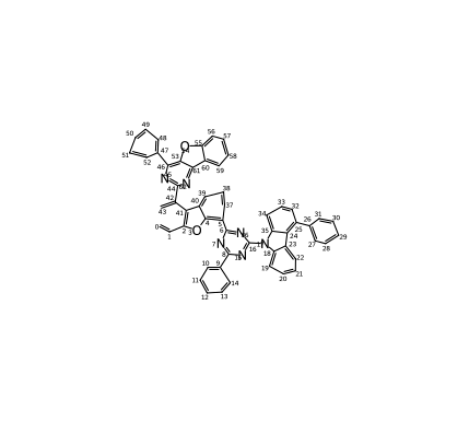 C=Cc1oc2c(-c3nc(-c4ccccc4)nc(-n4c5ccccc5c5c(-c6ccccc6)cccc54)n3)cccc2c1C(=C)c1nc(-c2ccccc2)c2oc3ccccc3c2n1